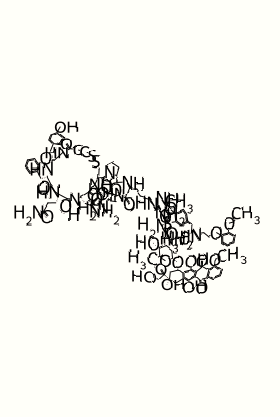 CCOc1ccccc1OCCN[C@H](C)Cc1ccc(OC)c(S(N)(=O)=O)c1.COc1cccc2c1C(=O)c1c(O)c3c(c(O)c1C2=O)C[C@@](O)(C(=O)CO)C[C@@H]3O[C@H]1C[C@H](N)[C@@H](O)[C@H](C)O1.N=C(N)NCCC[C@H](NC(=O)[C@@H]1CCCN1C(=O)[C@@H]1CSSCCC(=O)N[C@@H](Cc2ccc(O)cc2)C(=O)N[C@@H](Cc2ccccc2)C(=O)N[C@@H](CCC(N)=O)C(=O)N[C@@H](CC(N)=O)C(=O)N1)C(=O)NCC(N)=O